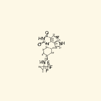 O=c1[nH]c(=O)n([C@H]2CC[C@H](CNC3(C(F)(F)F)CC3)CC2)c2c1cnc1[nH]ccc12